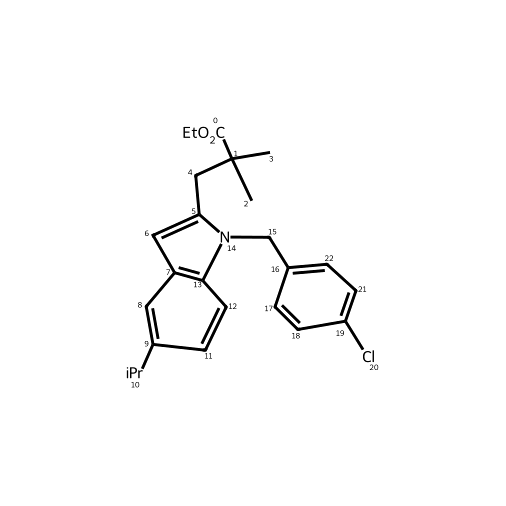 CCOC(=O)C(C)(C)Cc1cc2cc(C(C)C)ccc2n1Cc1ccc(Cl)cc1